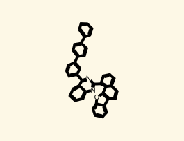 c1ccc(-c2ccc(-c3cccc(-c4nc(-c5cccc6ccc7c8ccccc8oc7c56)nc5ccccc45)c3)cc2)cc1